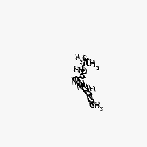 CN(C)CC=CC(=O)Nc1cccc(-c2ccnc3cnc(Nc4ccc(N5CCN(C)CC5)cc4)nc23)c1